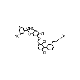 N#Cc1cncc(COc2cc(OCc3ccc(Cl)c(-c4cccc(CCCCBr)c4)c3Cl)c(Cl)cc2C=O)c1